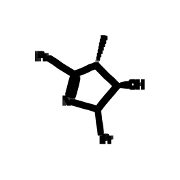 CC(C)C1=NC(C(C)C)[C@H](O)[C@H]1C